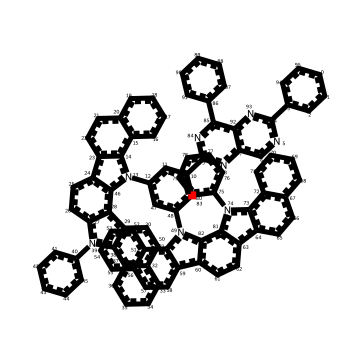 c1ccc(-c2ncc3nc(-c4cc(-n5c6c7ccccc7ccc6c6ccc7c(c8ccc9ccccc9c8n7-c7ccccc7)c65)cc(-n5c6c7ccccc7ccc6c6ccc7c8ccc9ccccc9c8n(-c8ccccc8)c7c65)c4)nc(-c4ccccc4)c3n2)cc1